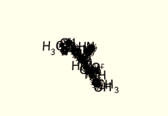 CC(C)c1ccccc1[C@@H]1CCC[C@@H]1N1CC2(CCN(c3ccc(C(=O)NS(=O)(=O)c4cnc(NC[C@H]5CC[C@](C)(O)CC5)c([N+](=O)[O-])c4)c(Oc4cnc5[nH]ccc5c4)c3)CC2)C1